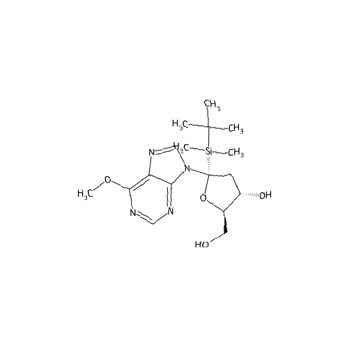 COc1ncnc2c1ncn2[C@@]1([Si](C)(C)C(C)(C)C)C[C@H](O)[C@@H](CO)O1